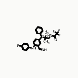 CC(C)(CNC(=O)C(F)(F)F)[C@H](c1ccccc1)c1ccc(Nc2ccc(F)cc2)c(C=N)c1